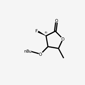 CCCCOC1C(C)OC(=O)[C@@H]1F